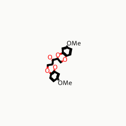 COc1ccc2c(c1)OC(C(=O)C1COc3ccc(OC)cc3O1)CO2